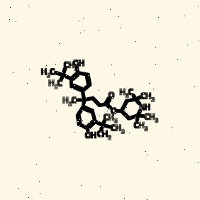 CC1(C)CC(OC(=O)CCC(C)(c2ccc(O)c(C(C)(C)C)c2)c2ccc(O)c(C(C)(C)C)c2)CC(C)(C)N1